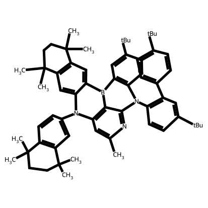 Cc1cc2c3c(n1)N(c1ccc(C(C)(C)C)cc1-c1ccc(C(C)(C)C)cc1)c1ccc(C(C)(C)C)cc1B3c1cc3c(cc1N2c1ccc2c(c1)C(C)(C)CCC2(C)C)C(C)(C)CCC3(C)C